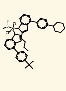 CCCCC1=Cc2c(-c3ccc(C4CCCCC4)cc3)cccc2[CH]1[Zr]([Cl])([Cl])([CH]1C=Cc2c(-c3ccc(C(C)(C)C)cc3)cccc21)[SiH](C)C